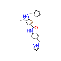 Cc1nn(Cc2ccccc2)c2sc(C(=O)Nc3ccc(Cn4cccn4)cc3)cc12